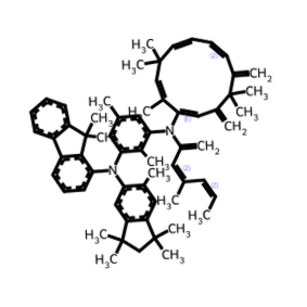 C=C(/C=C(C)\C=C/C)N(/C1=C/C(=C)C(C)(C)C(=C)/C=C\C=CC(C)(C)C=C1C)c1cc(C)cc(N(c2cc3c(cc2C)C(C)(C)CC3(C)C)c2cccc3c2C(C)(C)c2ccccc2-3)c1C